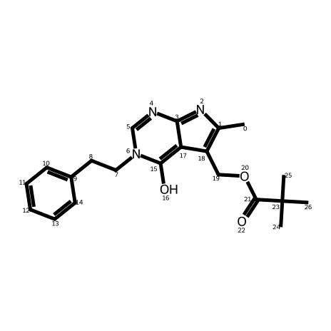 Cc1nc2ncn(CCc3ccccc3)c(O)c-2c1COC(=O)C(C)(C)C